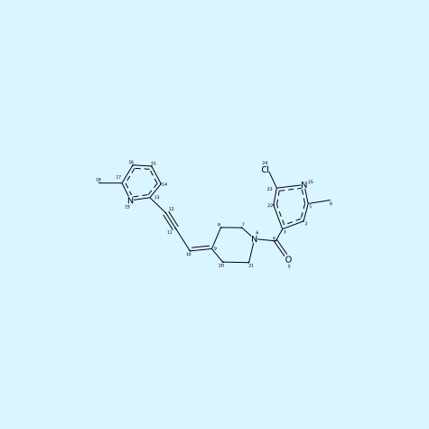 Cc1cc(C(=O)N2CCC(=CC#Cc3cccc(C)n3)CC2)cc(Cl)n1